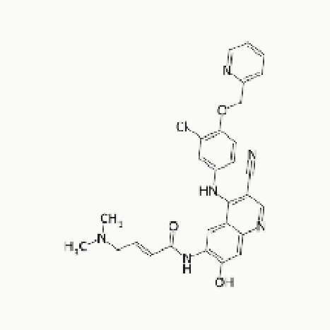 CN(C)C/C=C/C(=O)Nc1cc2c(Nc3ccc(OCc4ccccn4)c(Cl)c3)c(C#N)cnc2cc1O